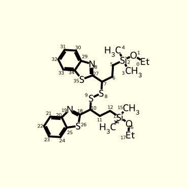 CCO[Si](C)(C)CCC(SSC(CC[Si](C)(C)OCC)c1nc2ccccc2s1)c1nc2ccccc2s1